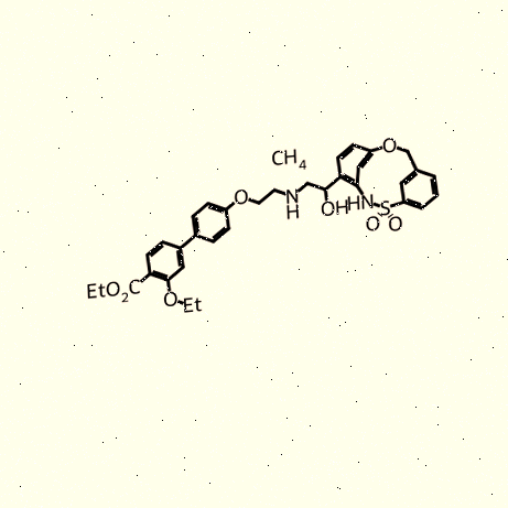 C.CCOC(=O)c1ccc(-c2ccc(OCCNCC(O)c3ccc4cc3NS(=O)(=O)c3cccc(c3)CO4)cc2)cc1OCC